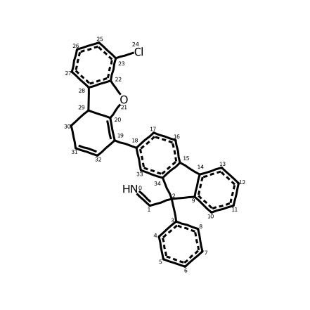 N=CC1(c2ccccc2)c2ccccc2-c2ccc(C3=C4Oc5c(Cl)cccc5C4CC=C3)cc21